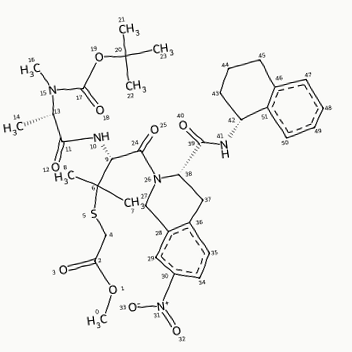 COC(=O)CSC(C)(C)[C@H](NC(=O)[C@H](C)N(C)C(=O)OC(C)(C)C)C(=O)N1Cc2cc([N+](=O)[O-])ccc2C[C@H]1C(=O)N[C@@H]1CCCc2ccccc21